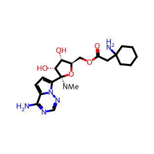 CN[C@@]1(c2ccc3c(N)ncnn23)O[C@H](COC(=O)CC2(N)CCCCC2)[C@@H](O)[C@H]1O